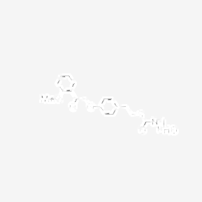 COc1ccccc1C(=O)COc1ccc(CCSC(=O)NC=O)cc1